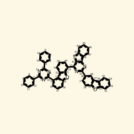 c1ccc(-c2nc(-c3ccccc3)nc(-c3cccc4oc5c(-c6nc(-c7ccc8oc9ccccc9c8c7)nc7c6sc6ccccc67)cccc5c34)n2)cc1